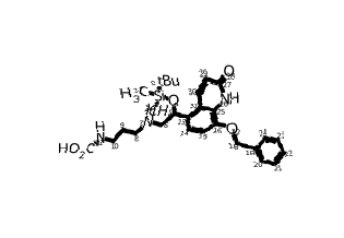 CC(C)(C)[Si](C)(C)OC(CNCCCNC(=O)O)c1ccc(OCc2ccccc2)c2[nH]c(=O)ccc12